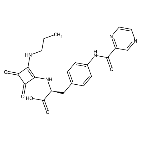 CCCNc1c(N[C@@H](Cc2ccc(NC(=O)c3cnccn3)cc2)C(=O)O)c(=O)c1=O